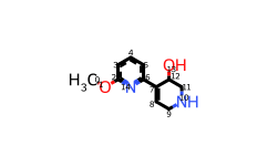 COc1cccc(C2=CCNCC2O)n1